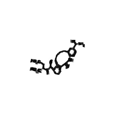 N=C(N)c1ccc2c(c1)CCCCc1c(cccc1C(=O)N[C@@H](CC(=O)O)C(=O)O)C(=O)N2